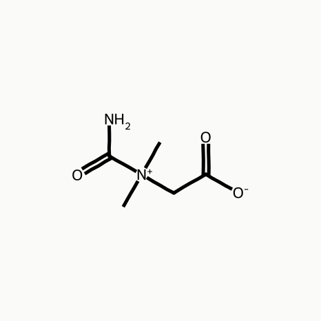 C[N+](C)(CC(=O)[O-])C(N)=O